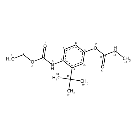 CCOC(=O)Nc1ccc(OC(=O)NC)cc1C(C)(C)C